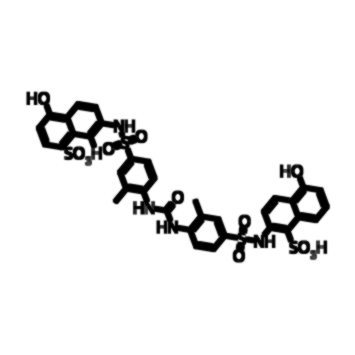 Cc1cc(S(=O)(=O)Nc2ccc3c(O)cccc3c2S(=O)(=O)O)ccc1NC(=O)Nc1ccc(S(=O)(=O)Nc2ccc3c(O)cccc3c2S(=O)(=O)O)cc1C